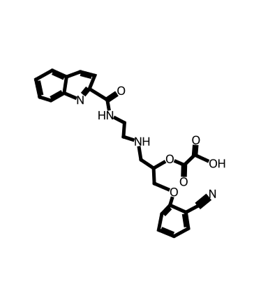 N#Cc1ccccc1OCC(CNCCNC(=O)c1ccc2ccccc2n1)OC(=O)C(=O)O